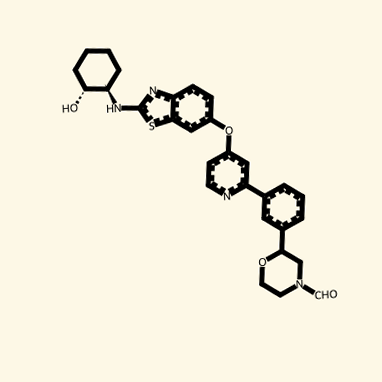 O=CN1CCOC(c2cccc(-c3cc(Oc4ccc5nc(N[C@@H]6CCCC[C@H]6O)sc5c4)ccn3)c2)C1